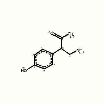 CC(=O)C(CN)c1ccc(O)cc1